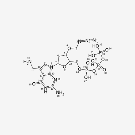 [N-]=[N+]=NCOC1CC(n2cc(CN)c3c(=O)[nH]c(N)nc32)OC1COP(=O)(O)OP(=O)(O)OP(=O)(O)O